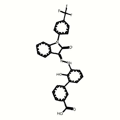 O=C(O)c1cccc(-c2cccc(N/N=C3\C(=O)N(c4ccc(C(F)(F)F)cc4)c4ccccc43)c2O)c1